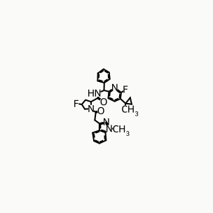 Cn1nc(CC(=O)N2CC(F)CC2C(=O)NC(c2ccccc2)c2ccc(C3(C)CC3)c(F)n2)c2ccccc21